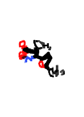 Cc1ccc(C2=NOC(=O)C2C)o1